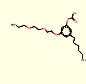 CCCCCCCCCCCCCCCc1cc(OCCOCCOCCOC)cc(OC(=O)C(C)(C)C)c1